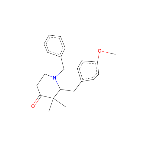 COc1ccc(CC2N(Cc3ccccc3)CCC(=O)C2(C)C)cc1